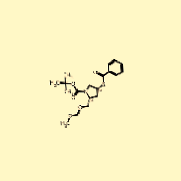 COCOC[C@@H]1C[C@H](SC(=O)c2ccccc2)CN1C(=O)OC(C)(C)C